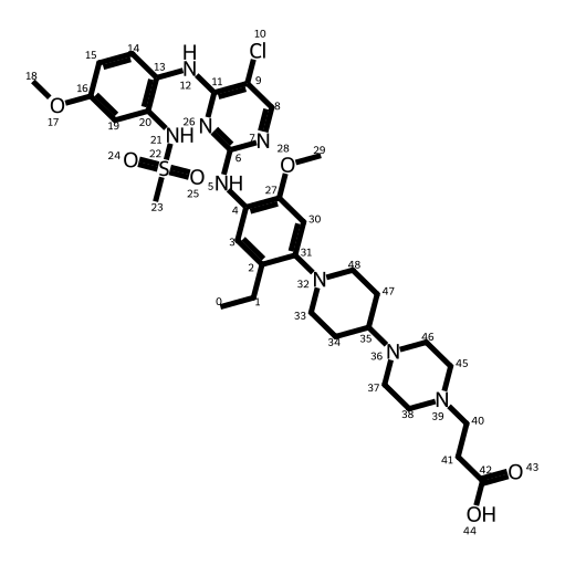 CCc1cc(Nc2ncc(Cl)c(Nc3ccc(OC)cc3NS(C)(=O)=O)n2)c(OC)cc1N1CCC(N2CCN(CCC(=O)O)CC2)CC1